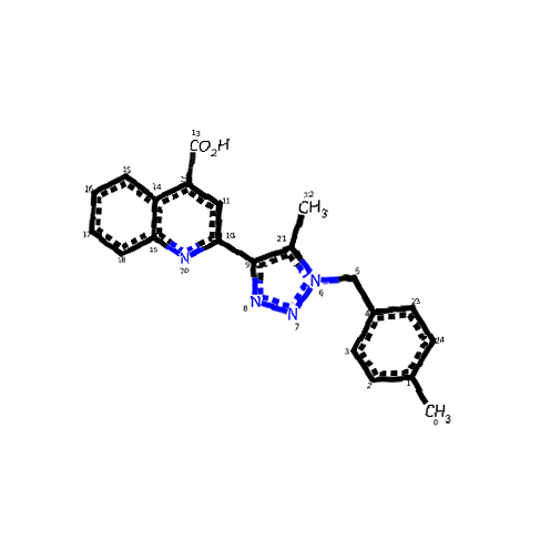 Cc1ccc(Cn2nnc(-c3cc(C(=O)O)c4ccccc4n3)c2C)cc1